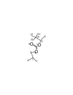 CC(C)COC(=O)OC(C)C(C)(C)C